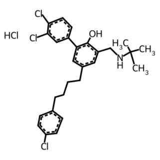 CC(C)(C)NCc1cc(CCCCc2ccc(Cl)cc2)cc(-c2ccc(Cl)c(Cl)c2)c1O.Cl